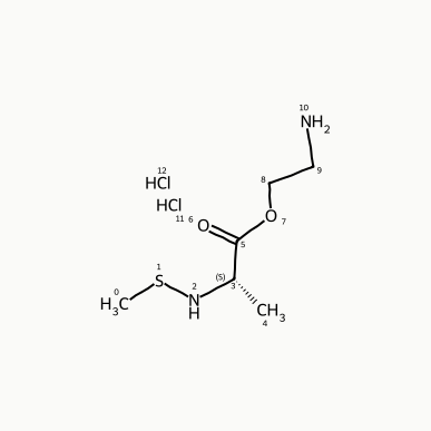 CSN[C@@H](C)C(=O)OCCN.Cl.Cl